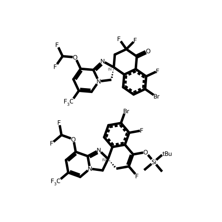 CC(C)(C)[Si](C)(C)OC1=C(F)C[C@@]2(CN3C=C(C(F)(F)F)C=C(OC(F)F)C3=N2)c2ccc(Br)c(F)c21.O=C1c2c(ccc(Br)c2F)[C@]2(CN3C=C(C(F)(F)F)C=C(OC(F)F)C3=N2)CC1(F)F